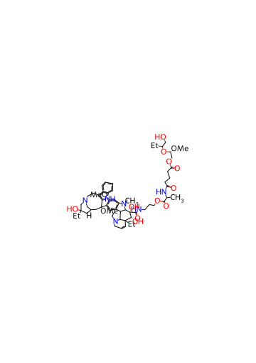 CCC(CO)OC(COC(=O)CCCC(=O)NC(C)C(=O)OCCCNC(=O)[C@]1(O)C2N(C)c3cc(OC)c([C@@]4(OC)C[C@@H]5C[N@](CCc6c4[nH]c4ccccc64)CC(O)(CC)C5)cc3[C@@]23CCN2CC=C[C@](CC)(C23)[C@H]1O)OC